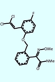 CNC(=O)C(=NOC)c1ccccc1COc1ccc(F)cc1C=C(Cl)Cl